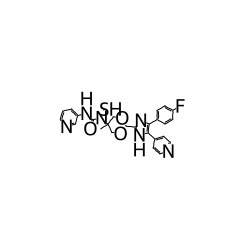 CC1(N(S)C(=O)Nc2cccnc2)COC(c2nc(-c3ccc(F)cc3)c(-c3ccncc3)[nH]2)OC1